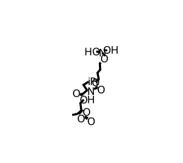 Cc1oc(=O)oc1COC(=O)C(CC(C)C)NC(=O)OCCCCON(O)O